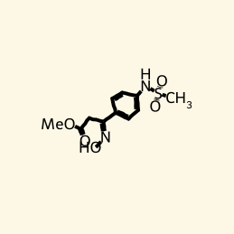 COC(=O)CC(=NO)c1ccc(NS(C)(=O)=O)cc1